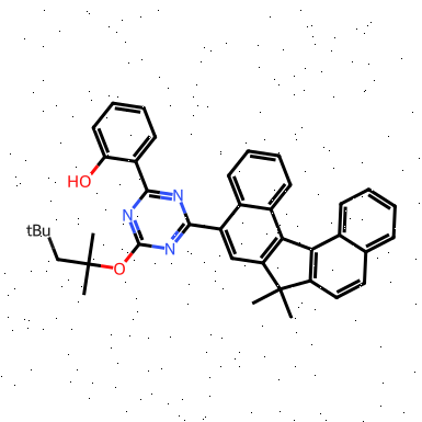 CC(C)(C)CC(C)(C)Oc1nc(-c2ccccc2O)nc(-c2cc3c(c4ccccc24)-c2c(ccc4ccccc24)C3(C)C)n1